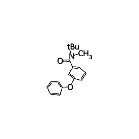 CN(C(=O)c1cccc(Oc2ccccc2)c1)C(C)(C)C